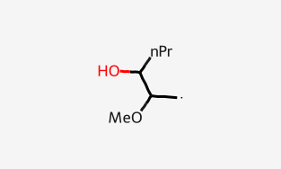 [CH2]C(OC)C(O)CCC